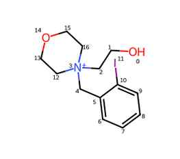 OCC[N+]1(Cc2ccccc2I)CCOCC1